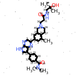 Cc1cc(-c2cnc3[nH]cc(-c4ccc(C(=O)N(C)C)cc4)c3n2)cc2c1CCN(CCC(=O)NCC(C)(C)O)C2